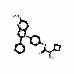 COc1ccc2c(cc(-c3ccccc3)n2-c2ccc(OC(=O)N(C3CCC3)C(C)(C)C)cc2)n1